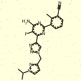 Cc1c(C#N)cccc1-c1nc(N)c(F)c(-c2cn(Cc3ccn(C(C)C)n3)nn2)n1